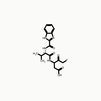 CC(C)[C@H](NC(=O)c1nc2ccccc2[nH]1)C(=O)NC(CC(=O)O)C(=O)CF